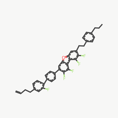 C=CCCc1ccc(-c2ccc(-c3cc4oc5cc(CCc6ccc(CCC)cc6)c(F)c(F)c5c4c(F)c3F)cc2)c(F)c1